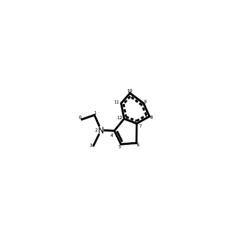 CCN(C)C1=CCc2ccccc21